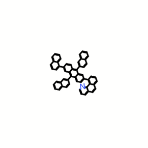 c1ccc2cc(-c3c4ccc(-c5cccc6ccc7cccnc7c56)cc4c(-c4ccc5ccccc5c4)c4ccc(-c5cccc6ccccc56)cc34)ccc2c1